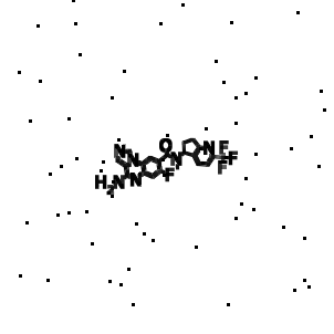 CN(C(=O)c1cc2c(cc1F)nc(N)c1cncn12)C1CCc2nc(C(F)(F)F)ccc21